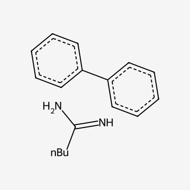 CCCCC(=N)N.c1ccc(-c2ccccc2)cc1